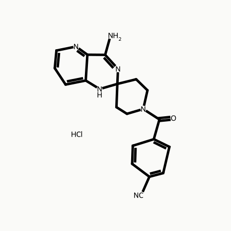 Cl.N#Cc1ccc(C(=O)N2CCC3(CC2)N=C(N)c2ncccc2N3)cc1